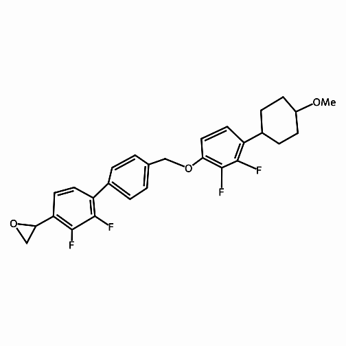 COC1CCC(c2ccc(OCc3ccc(-c4ccc(C5CO5)c(F)c4F)cc3)c(F)c2F)CC1